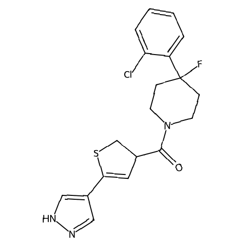 O=C(C1C=C(c2cn[nH]c2)SC1)N1CCC(F)(c2ccccc2Cl)CC1